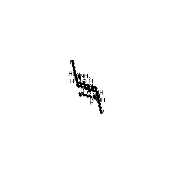 CN(C)CCCCCNc1nc(N)nc(Nc2ccc3[nH]c4cc5c(=O)c6cc(Nc7nc(NCCCCCN(C)C)nc(NCCCCCN(C)C)n7)ccc6[nH]c5cc4c(=O)c3c2)n1